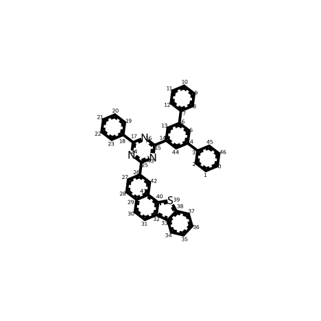 c1ccc(-c2cc(-c3ccccc3)cc(-c3nc(-c4ccccc4)nc(-c4ccc5ccc6c7ccccc7sc6c5c4)n3)c2)cc1